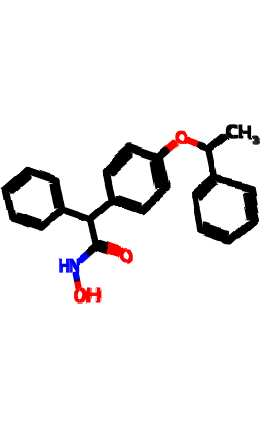 CC(Oc1ccc(C(C(=O)NO)c2ccccc2)cc1)c1ccccc1